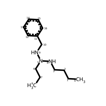 CCCCNN(CCC)NCc1ccccc1